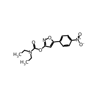 CCN(CC)C(=O)Oc1cc(-c2ccc([N+](=O)[O-])cc2)on1